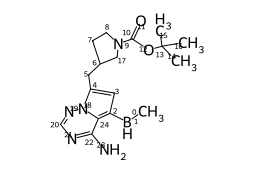 CBc1cc(CC2CCN(C(=O)OC(C)(C)C)C2)n2ncnc(N)c12